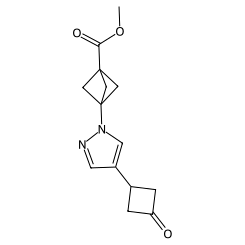 COC(=O)C12CC(n3cc(C4CC(=O)C4)cn3)(C1)C2